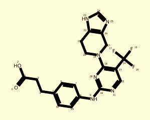 O=C(O)CCc1ccc(Nc2ncc(C(F)(F)F)c(N3CCc4[nH]cnc4C3)n2)cc1